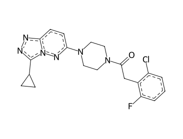 O=C(Cc1c(F)cccc1Cl)N1CCN(c2ccc3nnc(C4CC4)n3n2)CC1